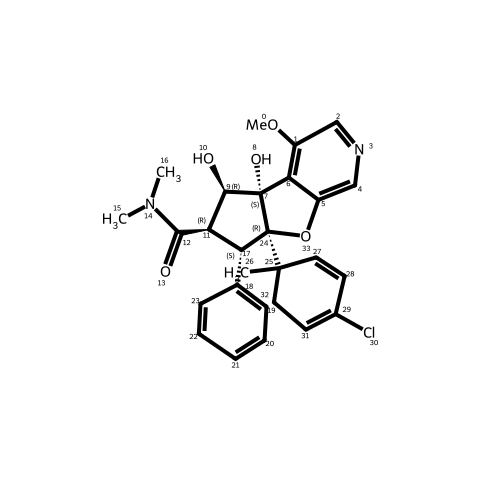 COc1cncc2c1[C@]1(O)[C@H](O)[C@H](C(=O)N(C)C)[C@@H](c3ccccc3)[C@]1(C1(C)C=CC(Cl)=CC1)O2